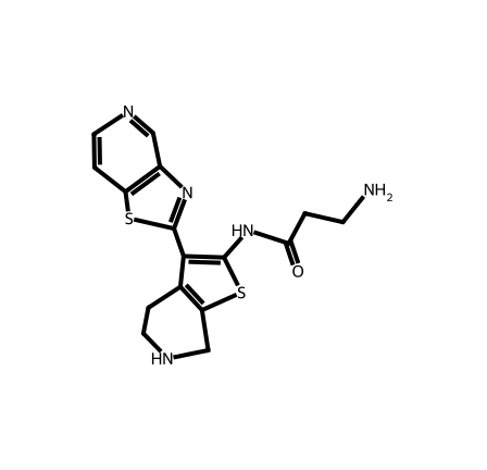 NCCC(=O)Nc1sc2c(c1-c1nc3cnccc3s1)CCNC2